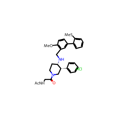 COc1ccc(-c2ccccc2SC)cc1CN[C@H]1CCN(C(=O)CNC(C)=O)C[C@H]1c1ccccc1.Cl